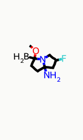 BC1(OC)CCC2(N)CC(F)CN21